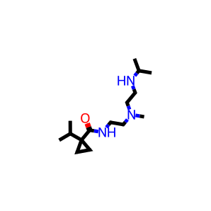 CC(C)NCCN(C)CCNC(=O)C1(C(C)C)CC1